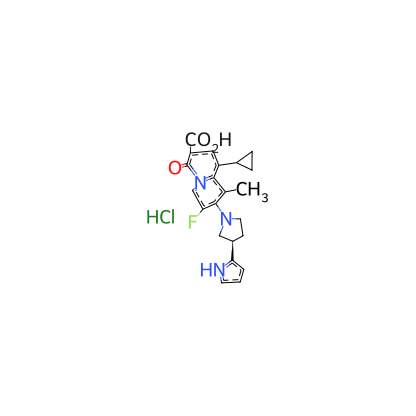 Cc1c(N2CC[C@@H](c3ccc[nH]3)C2)c(F)cn2c(=O)c(C(=O)O)cc(C3CC3)c12.Cl